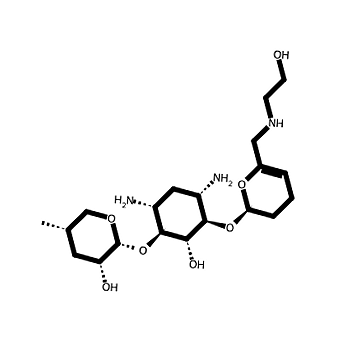 C[C@@H]1CO[C@H](O[C@@H]2[C@@H](O)[C@H](O[C@@H]3CCC=C(CNCCO)O3)[C@@H](N)C[C@H]2N)[C@H](O)C1